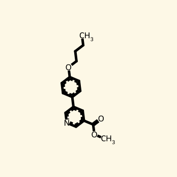 CCCCOc1ccc(-c2cncc(C(=O)OC)c2)cc1